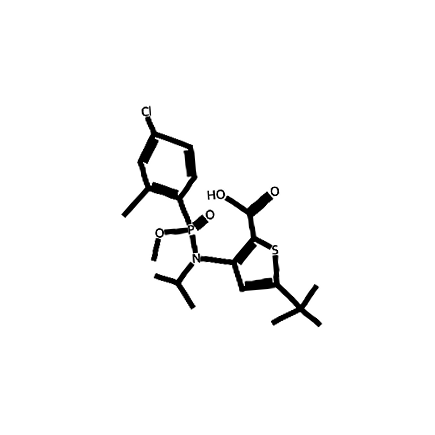 COP(=O)(c1ccc(Cl)cc1C)N(c1cc(C(C)(C)C)sc1C(=O)O)C(C)C